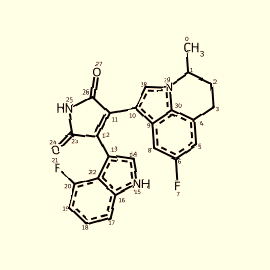 CC1CCc2cc(F)cc3c(C4=C(c5c[nH]c6cccc(F)c56)C(=O)NC4=O)cn1c23